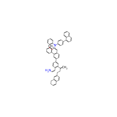 C=C(CCc1ccc2c(c1)CCC=C2)c1cc(-c2ccc(/C=C(\C=C/C)N(c3ccccc3)c3ccc(-c4cccc5ccccc45)cc3)c(-c3ccccc3)c2)ccc1/C=C\N